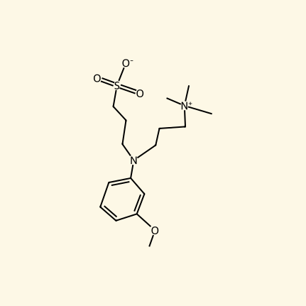 COc1cccc(N(CCC[N+](C)(C)C)CCCS(=O)(=O)[O-])c1